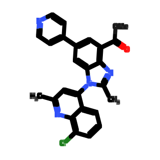 COC(=O)c1cc(-c2ccncc2)cc2c1nc(C)n2-c1cc(C)nc2c(Cl)cccc12